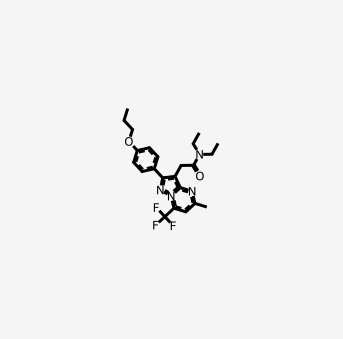 CCCOc1ccc(-c2nn3c(C(F)(F)F)cc(C)nc3c2CC(=O)N(CC)CC)cc1